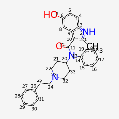 Cc1[nH]c2ccc(O)cc2c1C(=O)N(c1ccccc1)C1CCN(CCc2ccccc2)CC1